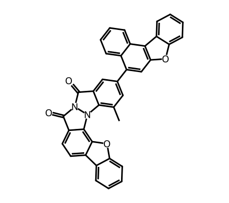 Cc1cc(-c2cc3oc4ccccc4c3c3ccccc23)cc2c(=O)n3c(=O)c4ccc5c6ccccc6oc5c4n3c12